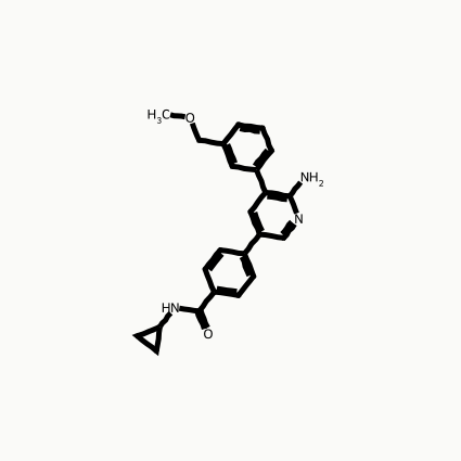 COCc1cccc(-c2cc(-c3ccc(C(=O)NC4CC4)cc3)cnc2N)c1